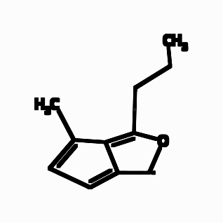 CCCC1=C2C(C)=CC=C2[CH]O1